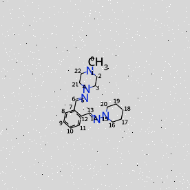 CN1CCN(N=Cc2ccccc2C=NN2CCCCC2)CC1